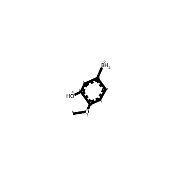 Bc1ccc(OC)c(O)c1